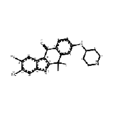 CC1(C)c2cc(OC3CCNCC3)ccc2C(=O)c2c1[nH]c1cc(C#N)c(F)cc21